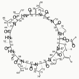 C/C=C/C[C@@H](C)[C@@H](OC(C)=O)[C@@H]1C(=O)N[C@@H](CC)C(=O)N(C)CC(=O)N(C)/C(=C\C(C)C)C(=O)N[C@@H](C(C)C)C(=O)N(C)[C@@H](CC(C)C)C(=O)N[C@@H](C)C(=O)N[C@H](C)C(=O)N(C)[C@@H](CC(C)C)C(=O)N(C)[C@@H](CC(C)C)C(=O)N(C)[C@@H](C(C)C)C(=O)N1C